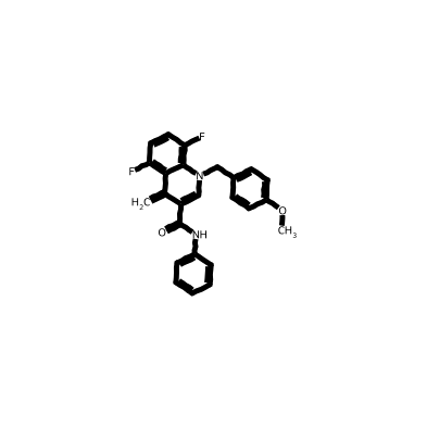 C=C1C(C(=O)Nc2ccccc2)=CN(Cc2ccc(OC)cc2)c2c(F)ccc(F)c21